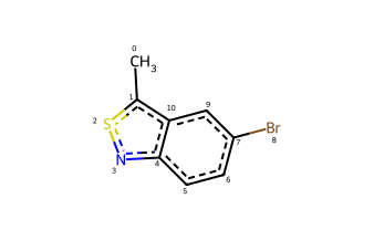 Cc1snc2ccc(Br)cc12